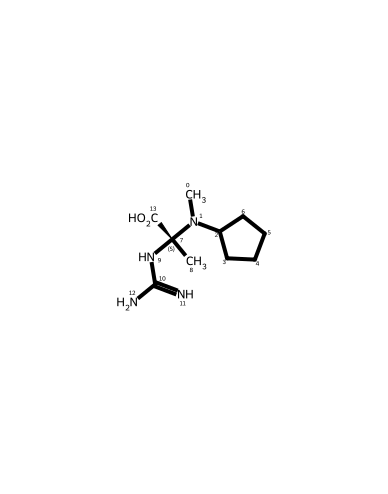 CN(C1CCCC1)[C@](C)(NC(=N)N)C(=O)O